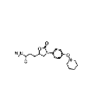 NC(=O)CCC1CN(c2ccc(ON3CCCCC3)cc2)C(=O)O1